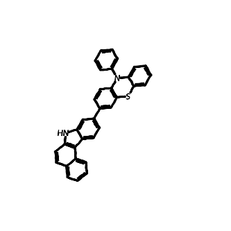 c1ccc(N2c3ccccc3Sc3cc(-c4ccc5c(c4)[nH]c4ccc6ccccc6c45)ccc32)cc1